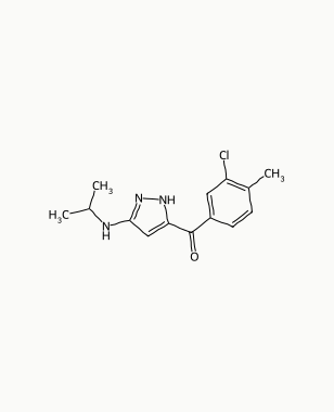 Cc1ccc(C(=O)c2cc(NC(C)C)n[nH]2)cc1Cl